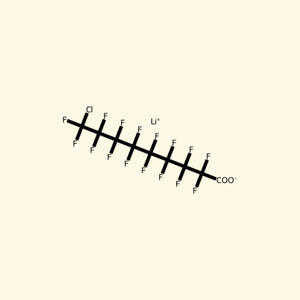 O=C([O-])C(F)(F)C(F)(F)C(F)(F)C(F)(F)C(F)(F)C(F)(F)C(F)(F)C(F)(F)Cl.[Li+]